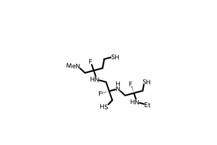 CCN[C@](F)(CS)CN[C@@](F)(CS)CNC(F)(CCS)CNC